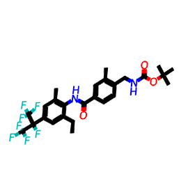 CCc1cc(C(F)(C(F)(F)F)C(F)(F)F)cc(C)c1NC(=O)c1ccc(CNC(=O)OC(C)(C)C)c(C)c1